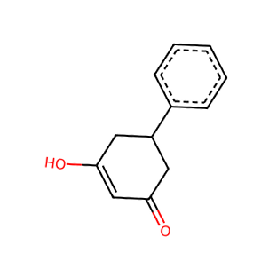 O=C1C=C(O)CC(c2ccccc2)C1